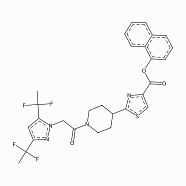 CC(F)(F)c1cc(C(C)(F)F)n(CC(=O)N2CCC(c3nc(C(=O)Oc4cccc5ccccc45)cs3)CC2)n1